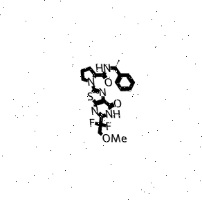 COCC(F)(F)c1nc2sc(N3CCCC3C(=O)N[C@H](C)c3ccccc3)nc2c(=O)[nH]1